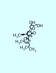 CC#Cc1cn([C@H]2CC(O)[C@@H](CO)O2)c(=O)nc1N=CN(CC(C)C)CC(C)C